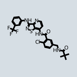 CC(C)(C)C(=O)NCc1ccc(Cl)c(C(=O)Nc2ccnc3c(Nc4cccc(C(F)(F)F)c4)nsc23)c1